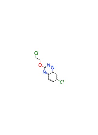 ClCCOc1nnc2cc(Cl)ccc2n1